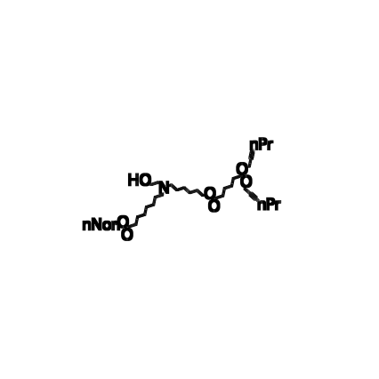 CCCC#CCOC(CCCCC(=O)OCCCCCCN(CCO)CCCCCCCC(=O)OCCCCCCCCC)OCC#CCCC